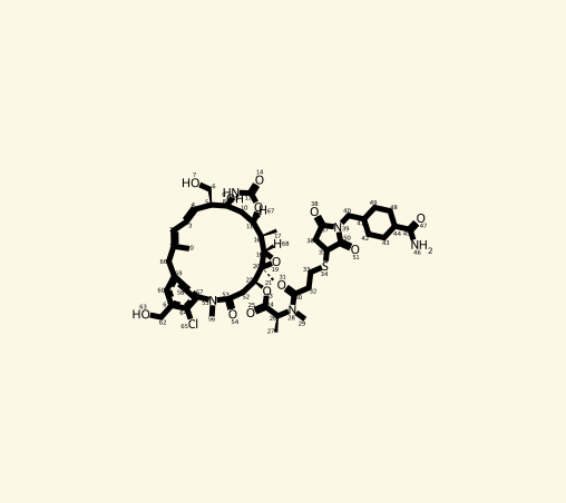 C/C1=C\C=C\[C@@H](CO)[C@@]2(O)C[C@H](OC(=O)N2)[C@@H](C)[C@@H]2O[C@@]2(C)[C@@H](OC(=O)[C@H](C)N(C)C(=O)CCSC2CC(=O)N(CC3CCC(C(N)=O)CC3)C2=O)CC(=O)N(C)c2cc(cc(CO)c2Cl)C1